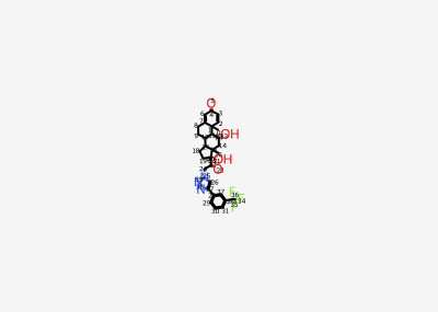 CC12C=CC(=O)C=C1CCC1C2[C@@H](O)CC2(C)C1CC[C@]2(O)C(=O)Cn1cc(-c2cccc(C(F)(F)F)c2)nn1